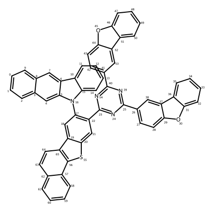 c1ccc2cc3c(cc2c1)c1ccccc1n3-c1cc2c(cc1-c1nc(-c3ccc4oc5ccccc5c4c3)nc(-c3ccc4oc5ccccc5c4c3)n1)sc1c3ccccc3ccc21